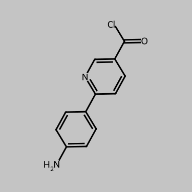 Nc1ccc(-c2ccc(C(=O)Cl)cn2)cc1